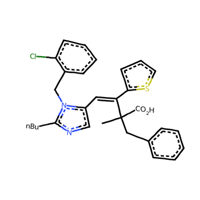 CCCCc1ncc(/C=C(/c2cccs2)C(C)(Cc2ccccc2)C(=O)O)n1Cc1ccccc1Cl